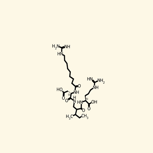 CCC(C)C(CNC(=O)[C@H](CC(=O)O)NC(=O)CCCCCCCCNC(=N)N)C(=O)N[C@@H](CCCNC(=N)N)C(=O)O